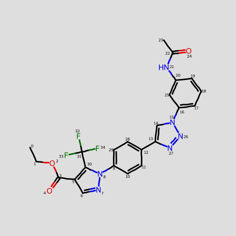 CCOC(=O)c1cnn(-c2ccc(-c3cn(-c4cccc(NC(C)=O)c4)nn3)cc2)c1C(F)(F)F